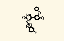 COc1ccc(-c2cnc(=O)n(Cc3nc4ccc(F)cc4o3)c2)cc1OC1CCCC1